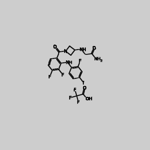 NC(=O)CNC1CN(C(=O)c2ccc(F)c(F)c2Nc2ccc(I)cc2F)C1.O=C(O)C(F)(F)F